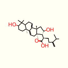 C=C(CC[C@@H](C(=O)O)[C@H]1C(O)C[C@@]2(C)C3=CCC4C(C)(C)C(O)CC[C@]4(C)C3=CC[C@]12C)C(C)C